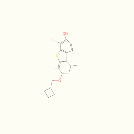 CC1C=C(OCC2CCC2)C(F)=C2Sc3c(ccc(O)c3F)C21